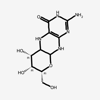 Nc1nc2c(c(=O)[nH]1)NC1C(N2)O[C@H](CO)[C@H](O)[C@@H]1O